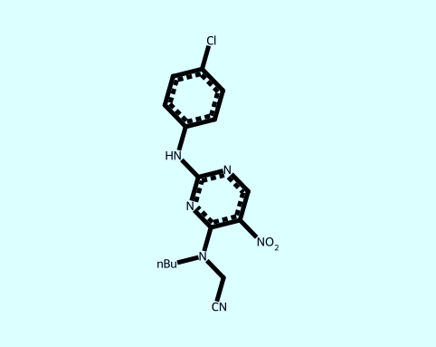 CCCCN(CC#N)c1nc(Nc2ccc(Cl)cc2)ncc1[N+](=O)[O-]